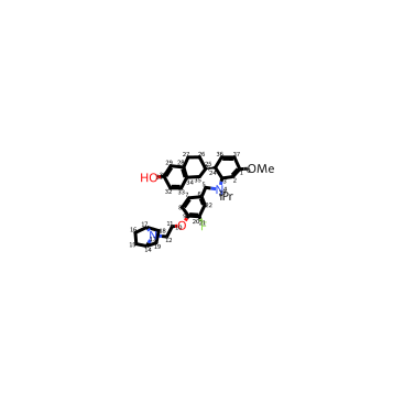 COC1=CC(N(Cc2ccc(OCCN3C4CCC3CC4)c(F)c2)C(C)C)C([C@@H]2CCc3cc(O)ccc3C2)C=C1